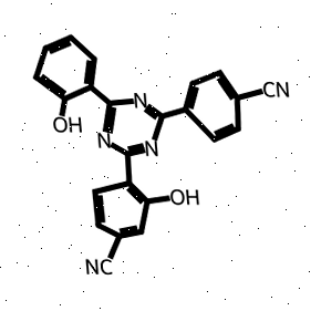 N#Cc1ccc(-c2nc(-c3ccccc3O)nc(-c3ccc(C#N)cc3O)n2)cc1